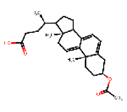 CC(=O)O[C@H]1CC[C@@]2(C)C(=CC=C3C2=CC[C@@]2(C)C3CCC2[C@H](C)CCC(=O)O)C1